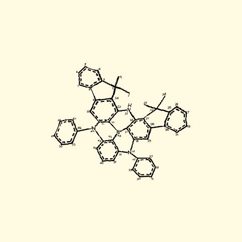 CC1(C)c2ccccc2-c2cc3c4c(c21)Nc1c2c(cc5c1C(C)(C)c1ccccc1-5)N(c1ccccc1)c1cccc(c1B42)N3c1ccccc1